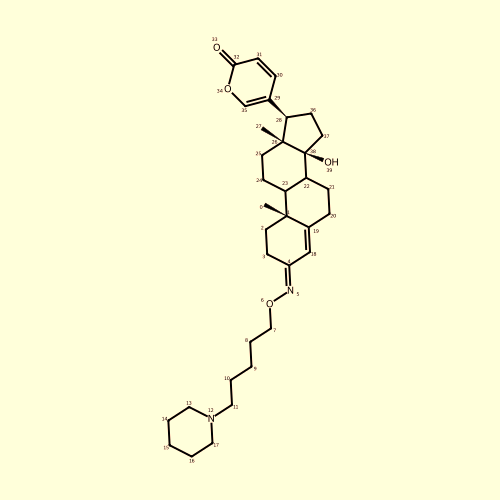 C[C@]12CCC(=NOCCCCCN3CCCCC3)C=C1CCC1C2CC[C@]2(C)[C@@H](c3ccc(=O)oc3)CC[C@]12O